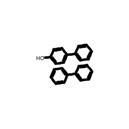 Oc1ccc(-c2ccccc2)cc1.c1ccc(-c2ccccc2)cc1